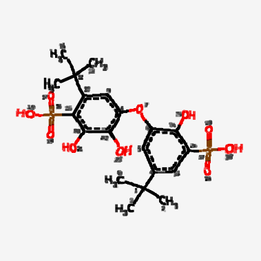 CC(C)(C)c1cc(Oc2cc(C(C)(C)C)c(S(=O)(=O)O)c(O)c2O)c(O)c(S(=O)(=O)O)c1